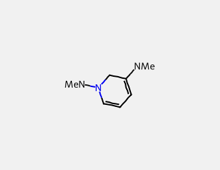 CNC1=CC=CN(NC)C1